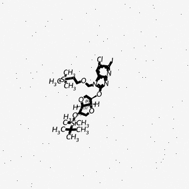 CC(C)(C)[Si](C)(C)O[C@@H]1CO[C@H]2[C@@H]1OC[C@H]2Oc1nc2nc(I)c(Cl)cc2n1COCC[Si](C)(C)C